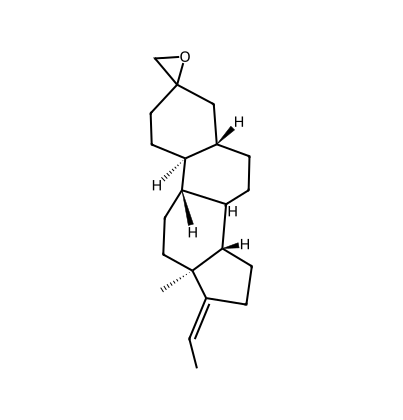 CC=C1CC[C@H]2[C@@H]3CC[C@H]4CC5(CC[C@@H]4[C@H]3CC[C@]12C)CO5